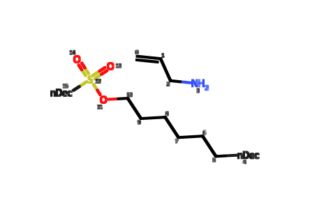 C=CCN.CCCCCCCCCCCCCCCCOS(=O)(=O)CCCCCCCCCC